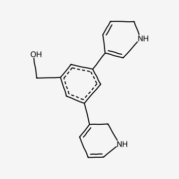 OCc1cc(C2=CNCC=C2)cc(C2=CC=CNC2)c1